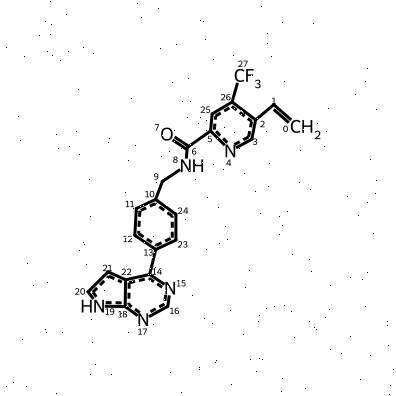 C=Cc1cnc(C(=O)NCc2ccc(-c3ncnc4[nH]ccc34)cc2)cc1C(F)(F)F